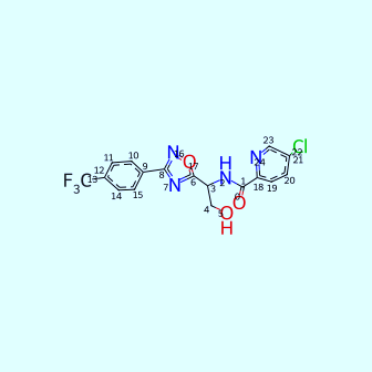 O=C(NC(CO)c1nc(-c2ccc(C(F)(F)F)cc2)no1)c1ccc(Cl)cn1